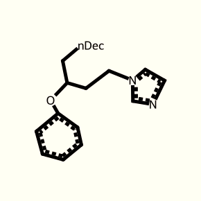 CCCCCCCCCCCC(CCn1ccnc1)Oc1ccccc1